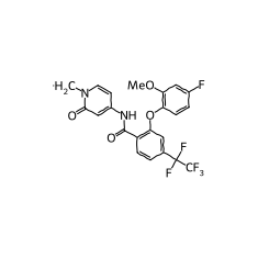 [CH2]n1ccc(NC(=O)c2ccc(C(F)(F)C(F)(F)F)cc2Oc2ccc(F)cc2OC)cc1=O